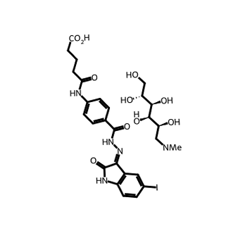 CNC[C@H](O)[C@@H](O)[C@H](O)[C@H](O)CO.O=C(O)CCCC(=O)Nc1ccc(C(=O)N/N=C2\C(=O)Nc3ccc(I)cc32)cc1